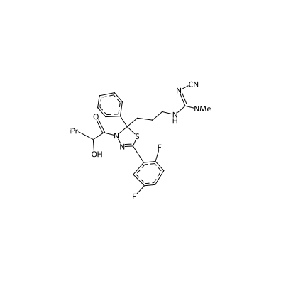 CNC(=NC#N)NCCCC1(c2ccccc2)SC(c2cc(F)ccc2F)=NN1C(=O)C(O)C(C)C